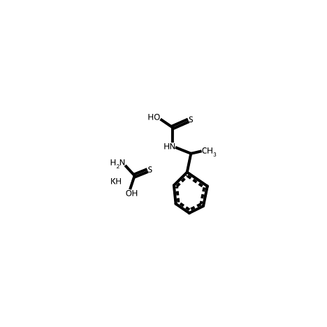 CC(NC(O)=S)c1ccccc1.NC(O)=S.[KH]